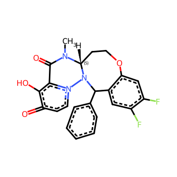 CN1C(=O)c2c(O)c(=O)ccn2N2C(c3ccccc3)c3cc(F)c(F)cc3OCC[C@@H]12